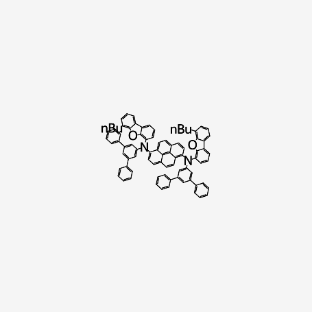 CCCCc1cccc2c1oc1c(N(c3cc(-c4ccccc4)cc(-c4ccccc4)c3)c3ccc4ccc5c(N(c6cc(-c7ccccc7)cc(-c7ccccc7)c6)c6cccc7c6oc6c(CCCC)cccc67)ccc6ccc3c4c65)cccc12